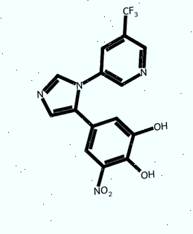 O=[N+]([O-])c1cc(-c2cncn2-c2cncc(C(F)(F)F)c2)cc(O)c1O